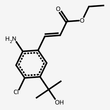 CCOC(=O)C=Cc1cc(C(C)(C)O)c(Cl)cc1N